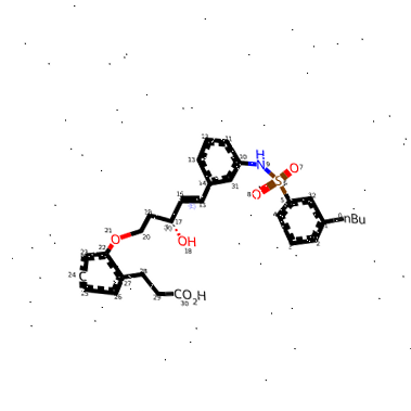 CCCCc1cccc(S(=O)(=O)Nc2cccc(/C=C/[C@H](O)CCOc3ccccc3CCC(=O)O)c2)c1